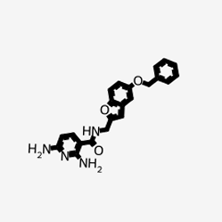 Nc1ccc(C(=O)NCc2cc3cc(OCc4ccccc4)ccc3o2)c(N)n1